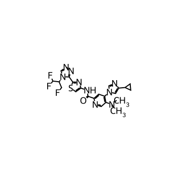 CN(C)c1cnc(C(=O)Nc2csc(-c3nncn3C(CF)C(F)F)n2)cc1-n1cnc(C2CC2)c1